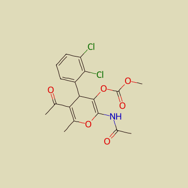 COC(=O)OC1=C(NC(C)=O)OC(C)=C(C(C)=O)C1c1cccc(Cl)c1Cl